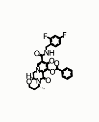 C[C@@H]1CCO[C@H]2Cn3cc(C(=O)NCc4ccc(F)cc4F)c(=O)c(OC(=O)c4ccccc4)c3C(=O)N12